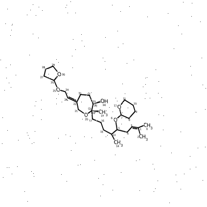 CC(C)=CCC(OC1CCCCO1)C(C)CCC[C@]1(C)OCC(=CCOC2CCCO2)CC[C@H]1O